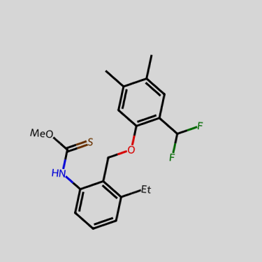 CCc1cccc(NC(=S)OC)c1COc1cc(C)c(C)cc1C(F)F